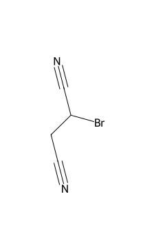 N#CCC(Br)C#N